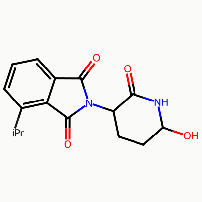 CC(C)c1cccc2c1C(=O)N(C1CCC(O)NC1=O)C2=O